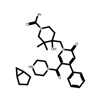 C1CC2CC2C1.CC(C)C(=O)N1CCC(O)(Cn2cc(C(=O)N3CCNCC3)c(-c3ccccc3)cc2=O)C(C)(C)C1